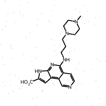 CN1CCN(CCCNc2nc3[nH]c(C(=O)O)cc3c3cnccc23)CC1